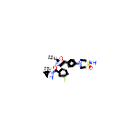 CC(C)(C)c1nc([C@@H]2CC[C@H](F)CC2C(=O)NC2(C#N)CC2)c(-c2ccc(N3CCS(=N)(=O)CC3)cc2)o1